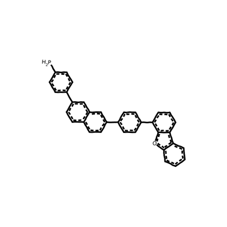 Pc1ccc(-c2ccc3ccc(-c4ccc(-c5cccc6c5oc5ccccc56)cc4)cc3c2)cc1